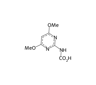 COc1cc(OC)nc(NC(=O)O)n1